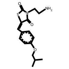 CC(C)COc1ccc(C=C2SC(=O)N(CCN)C2=O)cc1